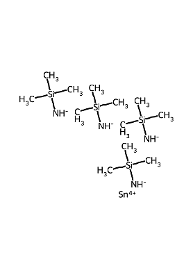 C[Si](C)(C)[NH-].C[Si](C)(C)[NH-].C[Si](C)(C)[NH-].C[Si](C)(C)[NH-].[Sn+4]